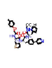 Cc1ccc(OCC(=O)N[C@@H](CC2CC=CS2)C(=O)N[C@@H](Cc2ccc(-c3ccncc3)cc2)C(=O)N[C@@H](Cc2ccccc2)C(=O)NCC(=O)O)cc1